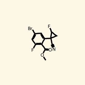 COC(=O)c1c(F)cc(Br)cc1C1(C#N)CC1F